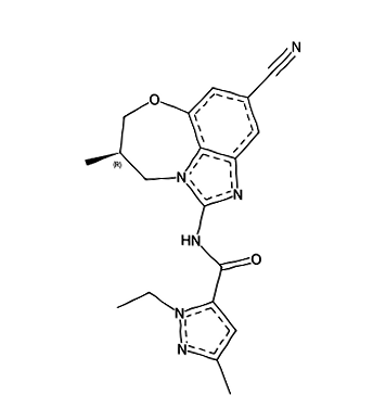 CCn1nc(C)cc1C(=O)Nc1nc2cc(C#N)cc3c2n1C[C@@H](C)CO3